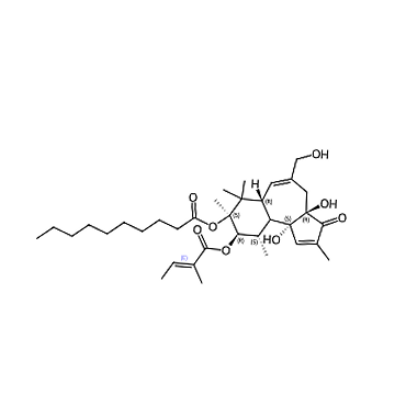 C/C=C(\C)C(=O)O[C@@H]1[C@@H](C)C2[C@@H](C=C(CO)C[C@]3(O)C(=O)C(C)=C[C@@]23O)C(C)(C)[C@]1(C)OC(=O)CCCCCCCCC